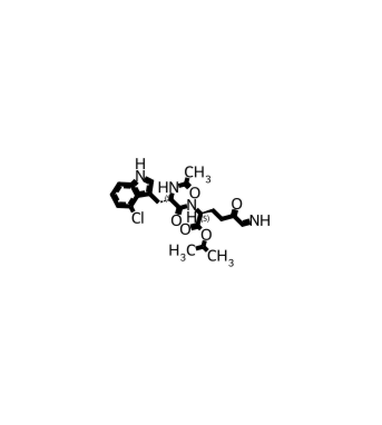 CC(=O)N[C@@H](Cc1c[nH]c2cccc(Cl)c12)C(=O)N[C@@H](CCC(=O)C=N)C(=O)OC(C)C